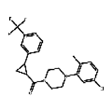 Cc1ccc(Cl)cc1N1CCN(C(=O)C2CC2c2cccc(C(F)(F)F)c2)CC1